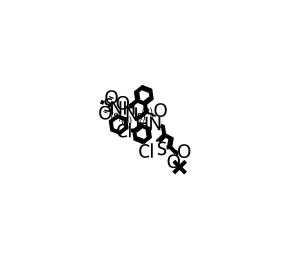 CC(C)(C)OC(=O)c1cc(CNC(=O)[C@@H]2c3ccccc3C(=O)N([C@H]3CCCC[C@@H]3NS(C)(=O)=O)[C@H]2c2ccc(Cl)cc2Cl)cs1